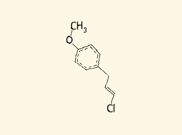 COc1ccc(CC=CCl)cc1